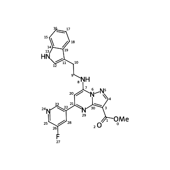 COC(=O)c1cnn2c(NCCc3c[nH]c4ccccc34)cc(-c3cncc(F)c3)nc12